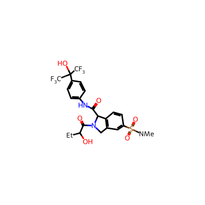 CCC(O)C(=O)N1Cc2cc(S(=O)(=O)NC)ccc2C1C(=O)Nc1ccc(C(O)(C(F)(F)F)C(F)(F)F)cc1